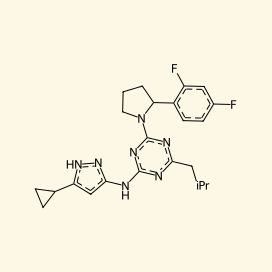 CC(C)Cc1nc(Nc2cc(C3CC3)[nH]n2)nc(N2CCCC2c2ccc(F)cc2F)n1